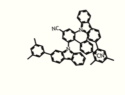 Cc1cc(C)cc(-c2ccc3c4ccccc4n(-c4cc(C#N)cc(-n5c6ccccc6c6ccc(-c7cc(C)cc(C)c7)cc65)c4-c4ccc(C#N)cc4F)c3c2)c1